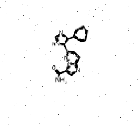 NC(=O)c1cnc2ccc(-c3[nH]cnc3-c3ccccc3)nn12